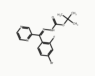 CC(C)(C)OC(=O)NN=C(c1cnccn1)c1ccc(Br)cc1F